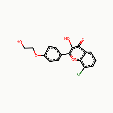 O=c1c(O)c(-c2ccc(OCCO)cc2)oc2c(Cl)cccc12